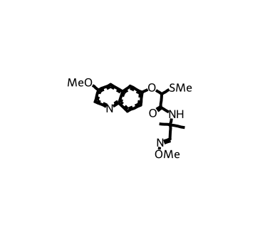 CON=CC(C)(C)NC(=O)C(Oc1ccc2ncc(OC)cc2c1)SC